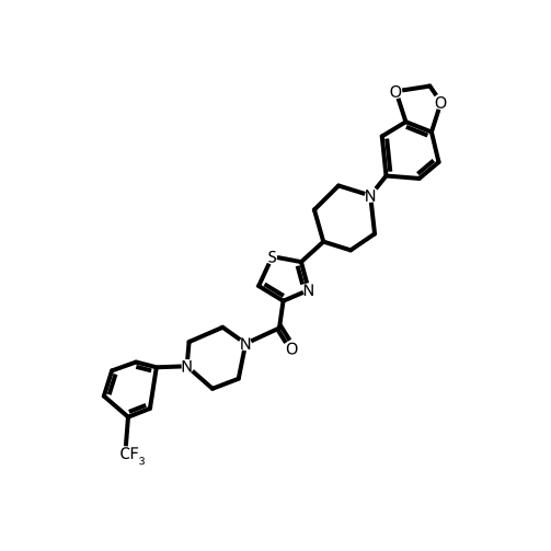 O=C(c1csc(C2CCN(c3ccc4c(c3)OCO4)CC2)n1)N1CCN(c2cccc(C(F)(F)F)c2)CC1